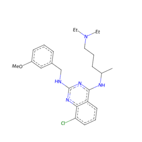 CCN(CC)CCCC(C)Nc1nc(NCc2cccc(OC)c2)nc2c(Cl)cccc12